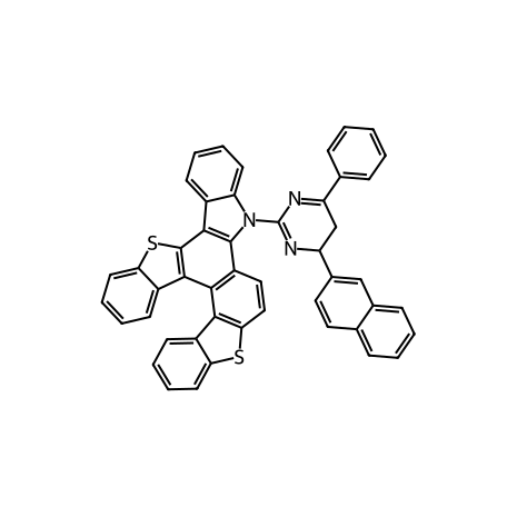 c1ccc(C2=NC(n3c4ccccc4c4c5sc6ccccc6c5c5c(ccc6sc7ccccc7c65)c43)=NC(c3ccc4ccccc4c3)C2)cc1